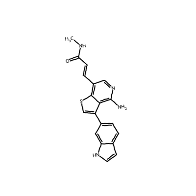 CNC(=O)C=Cc1cnc(N)c2c(-c3ccc4cc[nH]c4c3)csc12